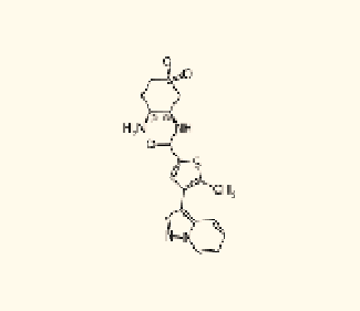 Cc1sc(C(=O)N[C@@H]2CS(=O)(=O)CC[C@@H]2N)cc1-c1cnn2ccccc12